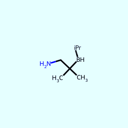 CC(C)BC(C)(C)CN